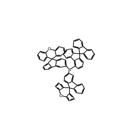 c1ccc2c(c1)Oc1ccccc1C21c2ccccc2-c2cc(N(c3ccc4c(c3)-c3ccccc3C43c4ccccc4Oc4ccccc43)c3cccc4c3-c3ccccc3C43c4ccccc4-c4ccccc43)ccc21